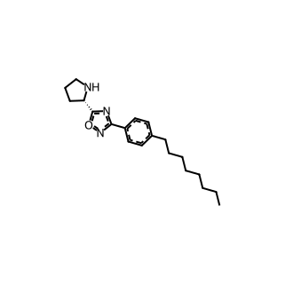 CCCCCCCCc1ccc(-c2noc([C@@H]3CCCN3)n2)cc1